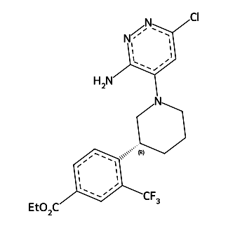 CCOC(=O)c1ccc([C@H]2CCCN(c3cc(Cl)nnc3N)C2)c(C(F)(F)F)c1